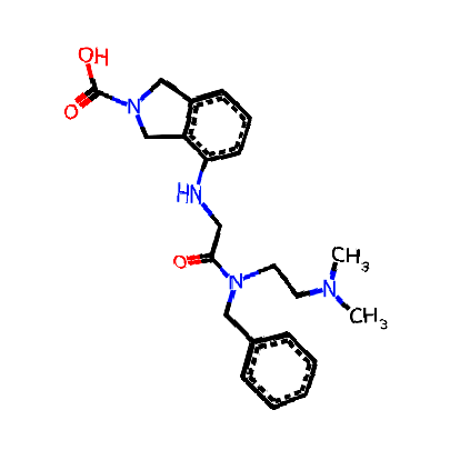 CN(C)CCN(Cc1ccccc1)C(=O)CNc1cccc2c1CN(C(=O)O)C2